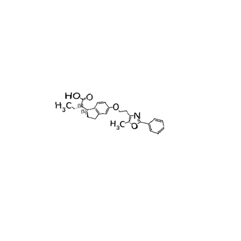 CC[C@H](C(=O)O)[C@@H]1CCc2cc(OCCc3nc(-c4ccccc4)oc3C)ccc21